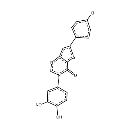 N#Cc1cc(-n2cnc3cc(-c4ccc(Cl)cc4)sc3c2=O)ccc1O